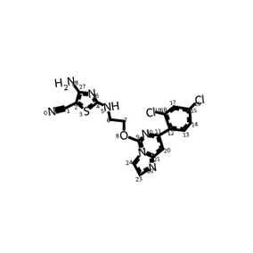 N#Cc1sc(NCCOc2nc(-c3ccc(Cl)cc3Cl)cc3nccn23)nc1N